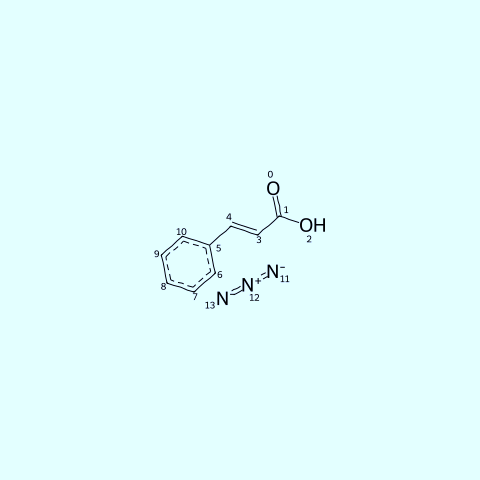 O=C(O)/C=C/c1ccccc1.[N-]=[N+]=[N-]